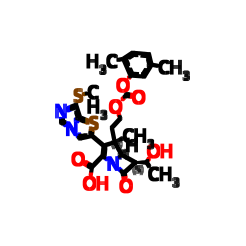 CSc1ncn2cc(C3=C(C(=O)O)N4C(=O)[C@H](C(C)O)[C@@H]4[C@@]3(C)CCOC(=O)Oc3cc(C)ccc3C)sc12